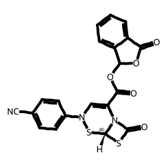 N#Cc1ccc(N2C=C(C(=O)OC3OC(=O)c4ccccc43)N3C(=O)S[C@@H]3S2)cc1